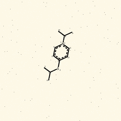 CC(C)Sc1cc[n+](C(C)C)cc1